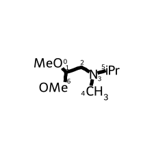 COC(CN(C)C(C)C)OC